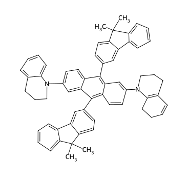 CC1(C)c2ccccc2-c2cc(-c3c4ccc(N5CCCc6ccccc65)cc4c(-c4ccc5c(c4)-c4ccccc4C5(C)C)c4ccc(N5CCCC6=C5CCC=C6)cc34)ccc21